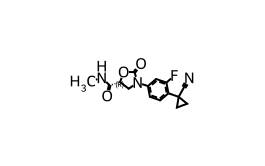 CNC(=O)[C@H]1CN(c2ccc(C3(C#N)CC3)c(F)c2)C(=O)O1